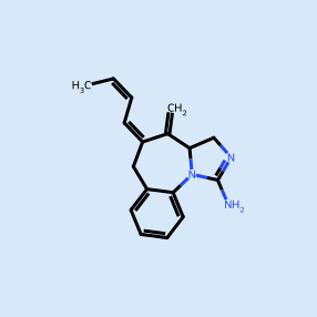 C=C1/C(=C\C=C/C)Cc2ccccc2N2C(N)=NCC12